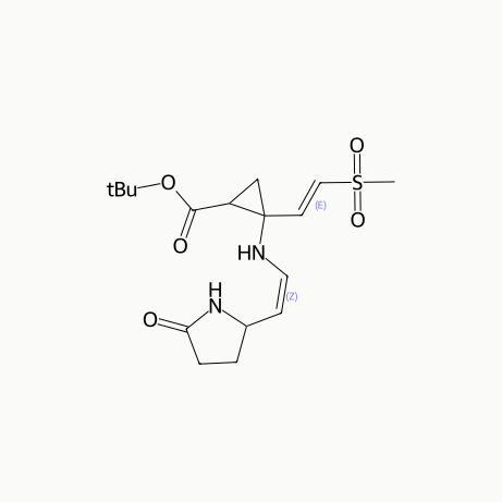 CC(C)(C)OC(=O)C1CC1(/C=C/S(C)(=O)=O)N/C=C\C1CCC(=O)N1